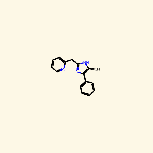 Cc1[nH]c(Cc2ccccn2)nc1-c1ccccc1